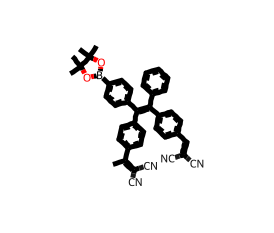 CC(=C(C#N)C#N)c1ccc(/C(=C(/c2ccccc2)c2ccc(C=C(C#N)C#N)cc2)c2ccc(B3OC(C)(C)C(C)(C)O3)cc2)cc1